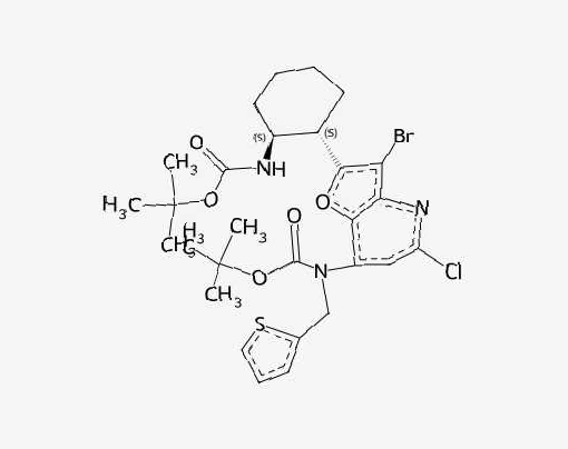 CC(C)(C)OC(=O)N[C@H]1CCCC[C@@H]1c1oc2c(N(Cc3cccs3)C(=O)OC(C)(C)C)cc(Cl)nc2c1Br